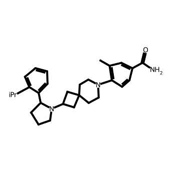 Cc1cc(C(N)=O)ccc1N1CCC2(CC1)CC(N1CCCC1c1ccccc1C(C)C)C2